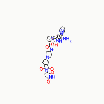 CN(C(=O)C1CCN(Cc2cccc(N3C4CCC3CN(c3cc(-c5ccccc5O)nnc3N)C4)c2)CC1)C1CCN(c2ccc3c(c2)C(=O)N(C2CCC(=O)NC2=O)C3=O)CC1